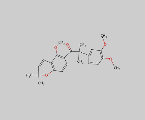 COc1ccc(C(C)(C)C(=O)c2ccc3c(c2OC)C=CC(C)(C)O3)cc1OC